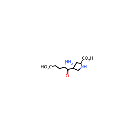 N[C@@H](CCC(=O)O)C(=O)C1CN[C@H](C(=O)O)C1